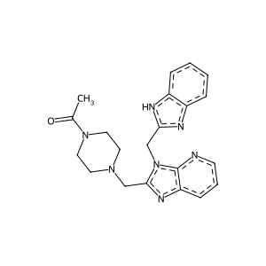 CC(=O)N1CCN(Cc2nc3cccnc3n2Cc2nc3ccccc3[nH]2)CC1